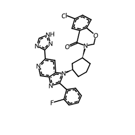 O=C1c2cc(Cl)ccc2OCN1[C@H]1CCC[C@@H](n2c(-c3ccccc3F)nc3cnc(-c4nc[nH]n4)cc32)C1